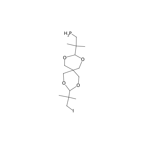 CC(C)(CP)C1OCC2(CO1)COC(C(C)(C)CI)OC2